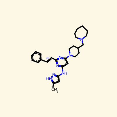 Cc1cc(Nc2cc(N3CCC(CN4CCCCCC4)CC3)nc(/C=C/c3ccccc3)n2)n[nH]1